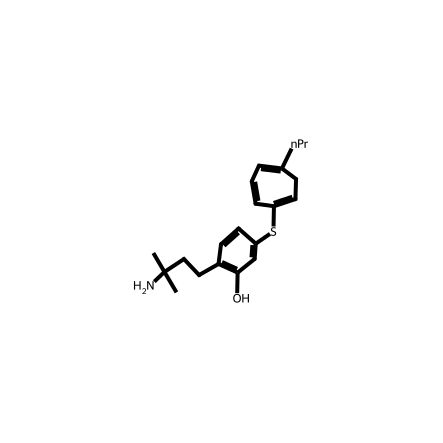 CCCC1=CC=CC(Sc2ccc(CCC(C)(C)N)c(O)c2)=CC1